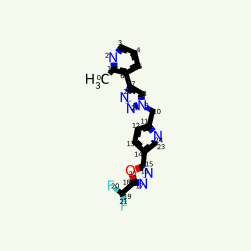 Cc1ncccc1-c1cn(Cc2ccc(-c3nnc(C(F)F)o3)cn2)nn1